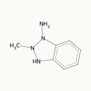 CN1Nc2ccccc2N1N